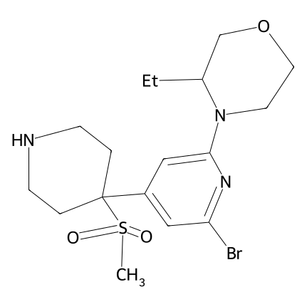 CCC1COCCN1c1cc(C2(S(C)(=O)=O)CCNCC2)cc(Br)n1